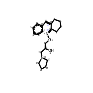 OC(CO/N=C1\CCCC\C1=C\c1ccccc1)CN1CCCC1